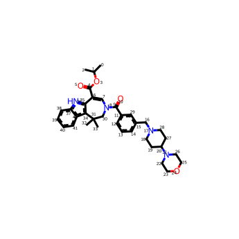 CC(C)OC(=O)C1=CN(C(=O)c2cccc(CN3CCC(N4CCOCC4)CC3)c2)CC(C)(C)c2c1[nH]c1ccccc21